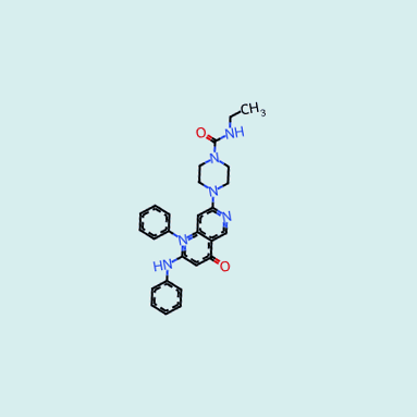 CCNC(=O)N1CCN(c2cc3c(cn2)c(=O)cc(Nc2ccccc2)n3-c2ccccc2)CC1